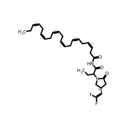 CC/C=C\C/C=C\C/C=C\C/C=C\C/C=C\C/C=C\CC(=O)NC(=O)C(CC)N1C[C@H](C=C(F)F)CC1=O